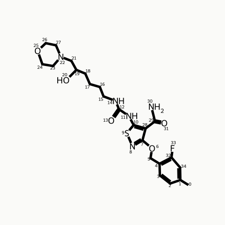 Cc1ccc(COc2nsc(NC(=O)NCCCCC(O)CN3CCOCC3)c2C(N)=O)c(F)c1